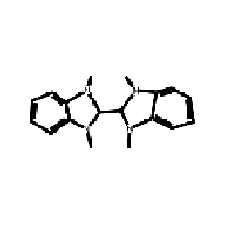 CN1c2ccccc2N(C)C1C1N(C)c2ccccc2N1C